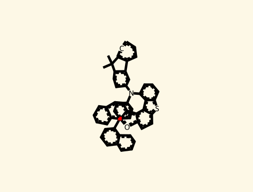 CC1(C)c2ccccc2-c2cc(N(c3ccc(-c4cccc5ccccc45)cc3)c3cccc4sc5ccc6oc7c8ccccc8ccc7c6c5c34)ccc21